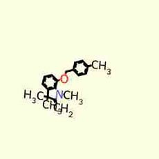 C=C1N(C)c2c(OCc3ccc(C)cc3)cccc2C1(C)C